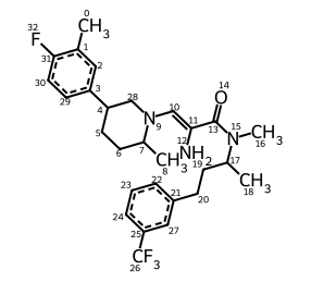 Cc1cc(C2CCC(C)N(/C=C(\N)C(=O)N(C)C(C)CCc3cccc(C(F)(F)F)c3)C2)ccc1F